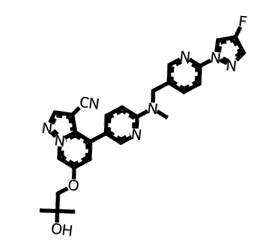 CN(Cc1ccc(-n2cc(F)cn2)nc1)c1ccc(-c2cc(OCC(C)(C)O)cn3ncc(C#N)c23)cn1